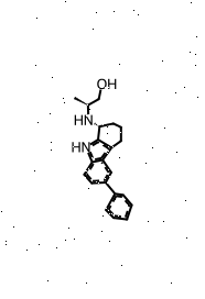 C[C@@H](CO)N[C@@H]1CCCc2c1[nH]c1ccc(-c3ccccc3)cc21